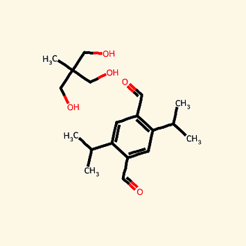 CC(C)c1cc(C=O)c(C(C)C)cc1C=O.CC(CO)(CO)CO